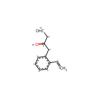 C=Cc1ccccc1CC(=O)CC=O